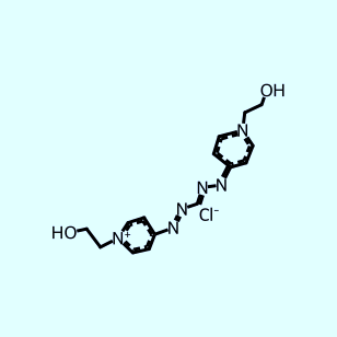 OCCn1ccc(=NN=CN=Nc2cc[n+](CCO)cc2)cc1.[Cl-]